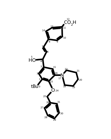 CC(C)(C)c1cc(C(O)C=Cc2ccc(C(=O)O)cc2)cc(N2CCCCC2)c1OCc1ccccc1